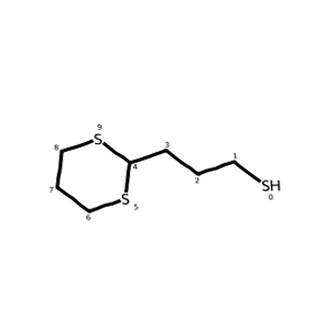 SCCCC1SCCCS1